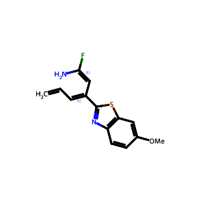 C=C/C=C(\C=C(/N)F)c1nc2ccc(OC)cc2s1